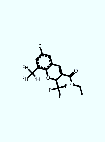 [2H]C([2H])([2H])c1cc(Cl)cc2c1OC(C(F)(F)F)C(C(=O)OCC)=C2